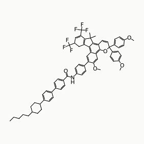 CCCCCC1CCC(c2ccc(-c3ccc(C(=O)Nc4ccc(-c5cc6c7c(c8c(c6cc5OC)OC(c5ccc(OC)cc5)(c5ccc(OC)cc5)C=C8)C(C)(C)C5=C7CC(C(F)(F)F)C=C5C(F)(F)F)cc4)cc3)cc2)CC1